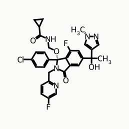 Cn1cc(C(C)(O)c2cc(F)c3c(c2)C(=O)N(Cc2ccc(F)cn2)[C@@]3(OCNC(=O)C2CC2)c2ccc(Cl)cc2)cn1